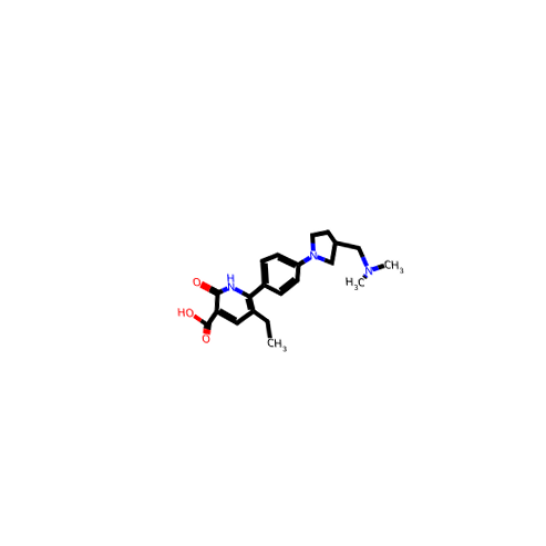 CCc1cc(C(=O)O)c(=O)[nH]c1-c1ccc(N2CCC(CN(C)C)C2)cc1